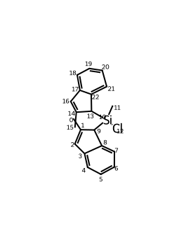 CC1=Cc2ccccc2C1[Si](C)(Cl)C1C(C)=Cc2ccccc21